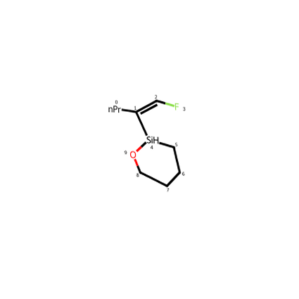 CCC/C(=C/F)[SiH]1CCCCO1